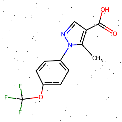 Cc1c(C(=O)O)cnn1-c1ccc(OC(F)(F)F)cc1